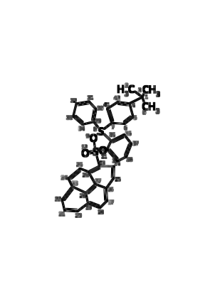 CC(C)(C)c1ccc(S(OS(=O)(=O)c2ccc3ccc4cccc5ccc2c3c45)(c2ccccc2)c2ccccc2)cc1